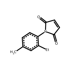 CCc1cc(C)ccc1N1C(=O)C=CC1=O